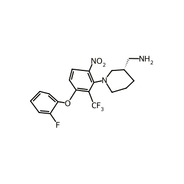 NC[C@@H]1CCCN(c2c([N+](=O)[O-])ccc(Oc3ccccc3F)c2C(F)(F)F)C1